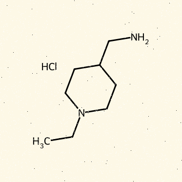 CCN1CCC(CN)CC1.Cl